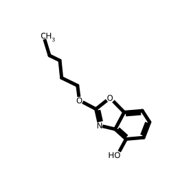 CCCCCOc1nc2c(O)cccc2o1